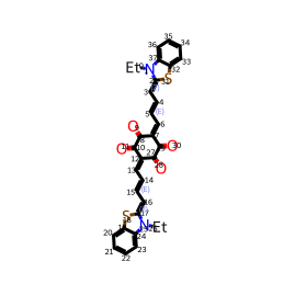 CCN1/C(=C/C=C/C=c2c(=O)c(=O)c(=C/C=C/C=C3\Sc4ccccc4N3CC)c(=O)c2=O)Sc2ccccc21